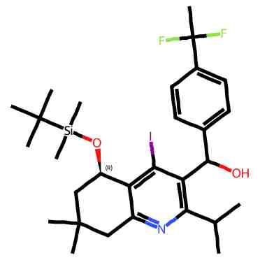 CC(C)c1nc2c(c(I)c1C(O)c1ccc(C(C)(F)F)cc1)[C@H](O[Si](C)(C)C(C)(C)C)CC(C)(C)C2